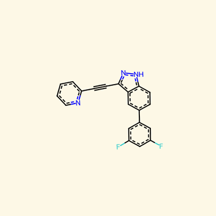 Fc1cc(F)cc(-c2ccc3[nH]nc(C#Cc4ccccn4)c3c2)c1